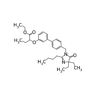 CCCCC1=NC(CC)(CC)C(=O)N1Cc1ccc(-c2cccc(OC(CC)C(=O)OCC)c2)cc1